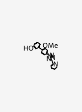 COc1cc(-n2nnc(-c3ccccn3)n2)ccc1-c1cccc(O)c1